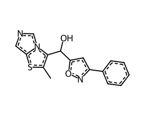 Cc1sc2cncn2c1C(O)c1cc(-c2ccccc2)no1